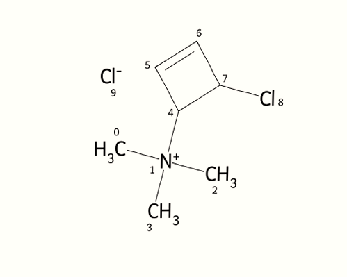 C[N+](C)(C)C1C=CC1Cl.[Cl-]